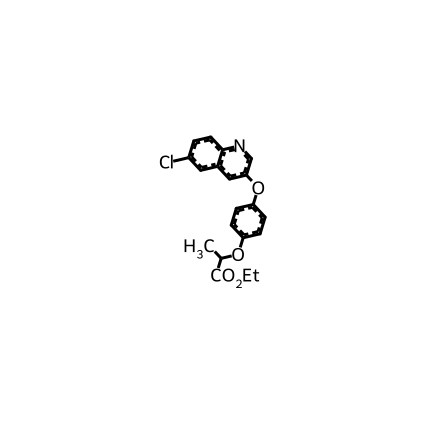 CCOC(=O)C(C)Oc1ccc(Oc2cnc3ccc(Cl)cc3c2)cc1